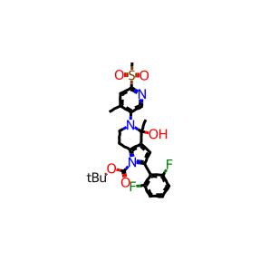 Cc1cc(S(C)(=O)=O)ncc1N1CCc2c(cc(-c3c(F)cccc3F)n2C(=O)OC(C)(C)C)C1(C)O